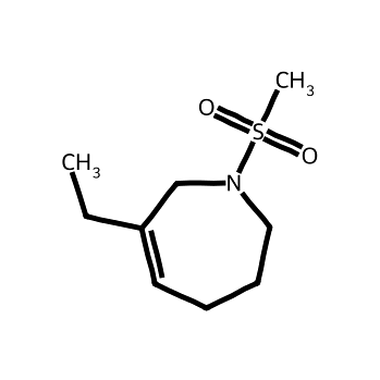 CCC1=CCCCN(S(C)(=O)=O)C1